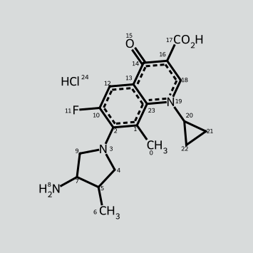 Cc1c(N2CC(C)C(N)C2)c(F)cc2c(=O)c(C(=O)O)cn(C3CC3)c12.Cl